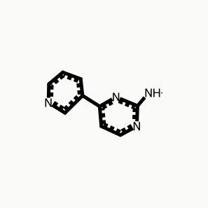 [NH]c1nccc(-c2cccnc2)n1